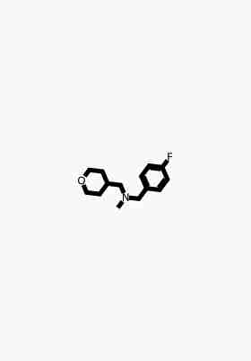 CN(Cc1ccc(F)cc1)CC1CCOCC1